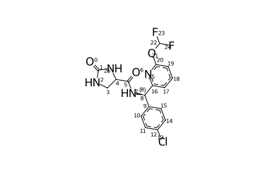 O=C1NCC(C(=O)N[C@H](c2ccc(Cl)cc2)c2cccc(OC(F)F)n2)N1